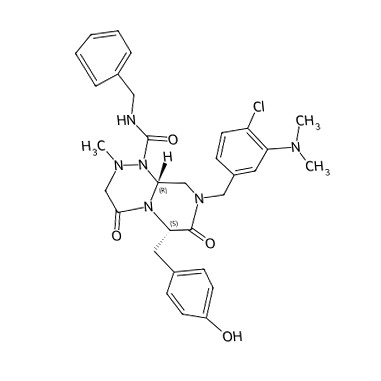 CN(C)c1cc(CN2C[C@@H]3N(C(=O)CN(C)N3C(=O)NCc3ccccc3)[C@@H](Cc3ccc(O)cc3)C2=O)ccc1Cl